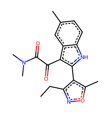 CCc1noc(C)c1-c1[nH]c2ccc(C)cc2c1C(=O)C(=O)N(C)C